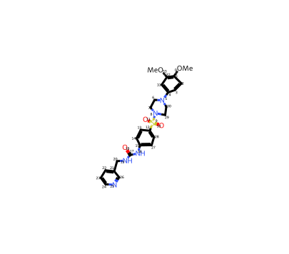 COc1ccc(N2CCN(S(=O)(=O)c3ccc(NC(=O)NCc4cccnc4)cc3)CC2)cc1OC